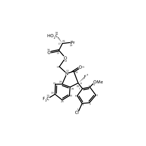 COc1ccc(Cl)cc1[C@]1(F)C(=O)N(COC(=O)[C@H](C(=O)O)C(C)C)c2cc(C(F)(F)F)ccc21